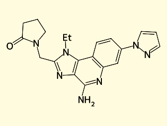 CCn1c(CN2CCCC2=O)nc2c(N)nc3cc(-n4cccn4)ccc3c21